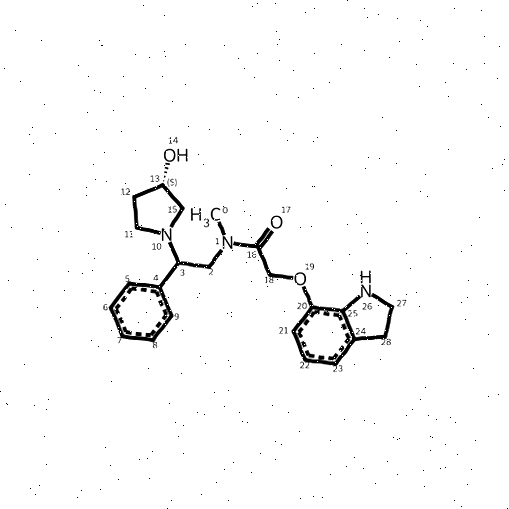 CN(CC(c1ccccc1)N1CC[C@H](O)C1)C(=O)COc1cccc2c1NCC2